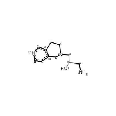 NC[C@H](O)CN1CCc2cnccc2C1